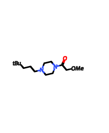 COCC(=O)N1CCN(CCCC(C)(C)C)CC1